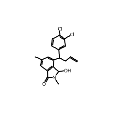 C=CCC(c1ccc(Cl)c(Cl)c1)c1cc(C)cc2c1C(O)N(C)C2=O